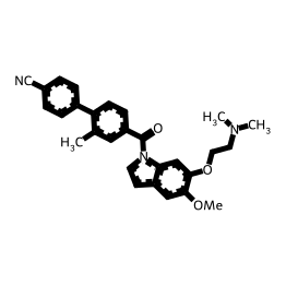 COc1cc2ccn(C(=O)c3ccc(-c4ccc(C#N)cc4)c(C)c3)c2cc1OCCN(C)C